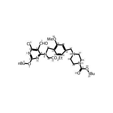 CCCCOc1nc(Cl)c(C=O)c(N(CC(=O)OCC)Cc2ccc(CN3CCN(C(=O)OC(C)(C)C)CC3)cc2OC)n1